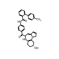 Cc1ccc(-c2ccccc2C(=O)Nc2ccc(C(=O)C3C=C4C=CCN4C4=C(CC[C@@H](O)C4)N3)cc2)cc1